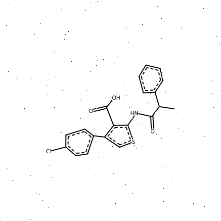 CC(C(=O)Nc1scc(-c2ccc(Cl)cc2)c1C(=O)O)c1ccccc1